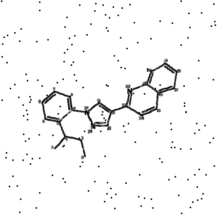 CCC(C)c1ccccc1-n1cc(-c2ccc3ccccc3n2)cn1